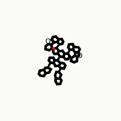 c1ccc2cc(-c3cccc4c(-c5c6cccc(-c7cccc8ccc9oc%10ccccc%10c9c78)c6cc6c(-c7cccc8ccc9oc%10ccccc%10c9c78)cccc56)c5cccc(-c6ccc7ccccc7c6)c5cc34)ccc2c1